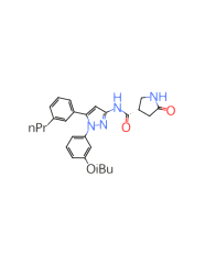 CCCc1cccc(-c2cc(NC(=O)[C@@H]3CNC(=O)C3)nn2-c2cccc(OCC(C)C)c2)c1